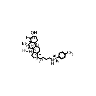 CC[C@H]1[C@@H](O)[C@@H]2[C@H](CC[C@]3(C)[C@@H]([C@H](C)CCCNS(=O)(=O)c4ccc(C(F)(F)F)cc4)CC[C@@H]23)[C@@]2(C)CC[C@@H](O)[C@H](F)[C@@H]12